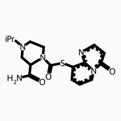 CC(C)N1CCN(C(=O)Sc2cccn3c(=O)ccnc23)C(C(N)=O)C1